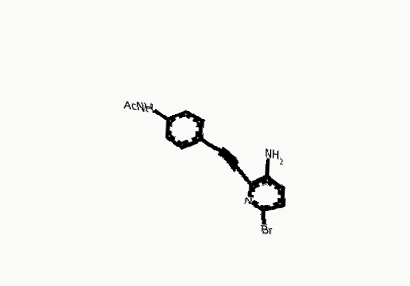 CC(=O)Nc1ccc(C#Cc2nc(Br)ccc2N)cc1